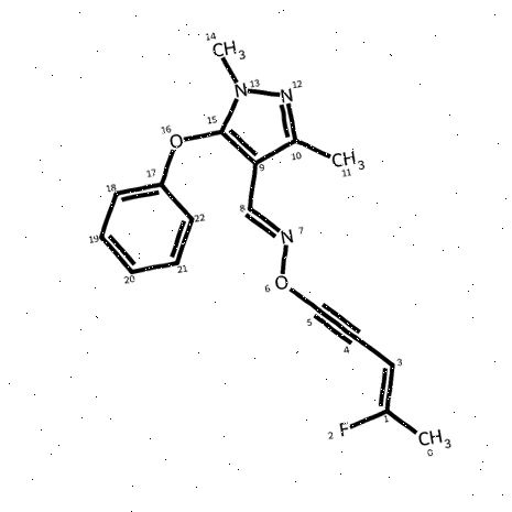 CC(F)=CC#CON=Cc1c(C)nn(C)c1Oc1ccccc1